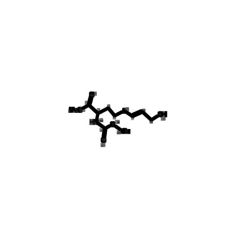 COC(=O)C(CCSC=CCO)NC(=O)OC(C)(C)C